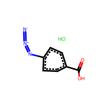 Cl.[N-]=[N+]=Nc1ccc(C(=O)O)cc1